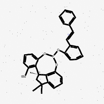 CC(C)(C)c1cccc2c1[C@]1(C)CC(C)(C)c3cccc(c31)OP(Oc1ccccc1/C=C/c1ccccc1)O2